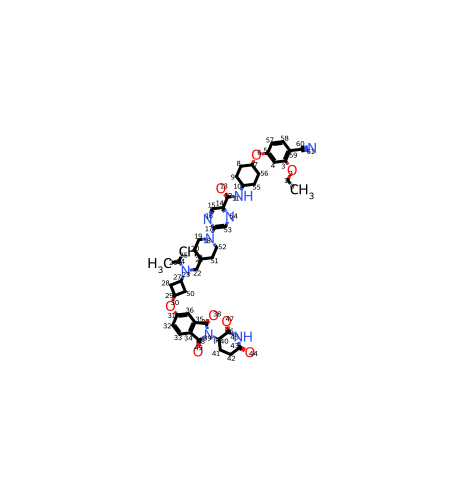 CCOc1cc(OC2CCC(NC(=O)c3cnc(N4CCC(CN(C(C)C)C5CC(Oc6ccc7c(c6)C(=O)N([C@@H]6CCC(=O)NC6=O)C7=O)C5)CC4)cn3)CC2)ccc1C#N